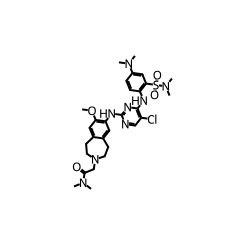 COc1cc2c(cc1Nc1ncc(Cl)c(Nc3ccc(N(C)C)cc3S(=O)(=O)N(C)C)n1)CCN(CC(=O)N(C)C)CC2